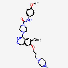 COc1cc2c(N3CCN(C(=O)Nc4ccc(OC(C)C)cc4)CC3)nncc2cc1OCCCN1CCN(C)CC1